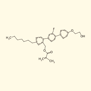 C=C(C)C(=O)OCc1cc(CCCCCCC)ccc1-c1ccc(-c2ccc(OCCO)cc2)c(F)c1